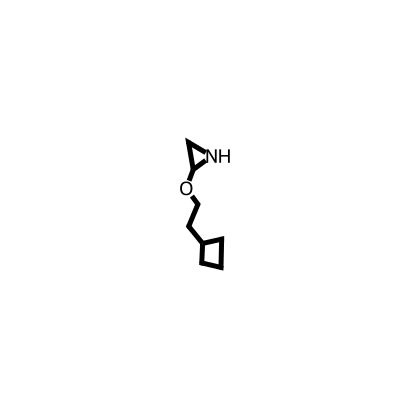 C1CC(CCOC2CN2)C1